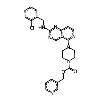 O=C(OCc1cccnc1)N1CCN(c2nccc3nc(NCc4ccccc4Cl)ncc23)CC1